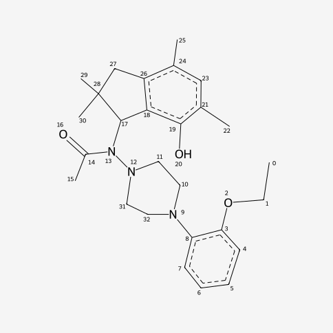 CCOc1ccccc1N1CCN(N(C(C)=O)C2c3c(O)c(C)cc(C)c3CC2(C)C)CC1